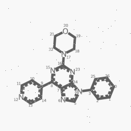 c1ccc(-n2cnc3c(-c4ccncc4)nc(N4CCOCC4)nc32)cc1